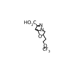 O=C(O)c1cc2n(n1)CC(CCOC(F)(F)F)O2